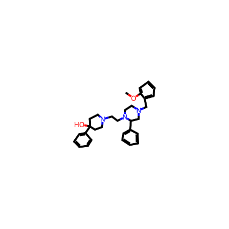 COc1ccccc1CN1CCN(CCN2CCC(O)(c3ccccc3)CC2)C(c2ccccc2)C1